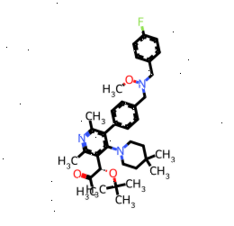 CON(Cc1ccc(F)cc1)Cc1ccc(-c2c(C)nc(C)c([C@H](OC(C)(C)C)C(C)=O)c2N2CCC(C)(C)CC2)cc1